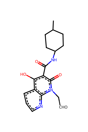 CC1CCC(NC(=O)c2c(O)c3cccnc3n(CC=O)c2=O)CC1